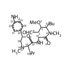 CCC(C)C(C(CC=O)OC)N(C)C(=O)CNC(=O)C(C(C)C)N(C)CCc1ccc(N)cc1